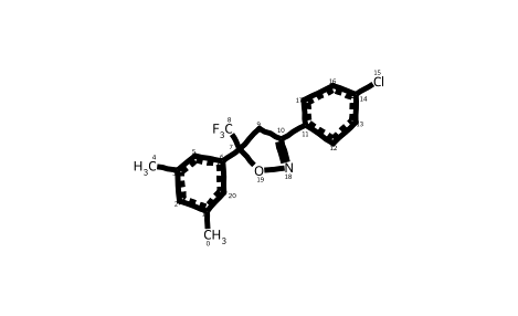 Cc1[c]c(C)cc(C2(C(F)(F)F)CC(c3ccc(Cl)cc3)=NO2)c1